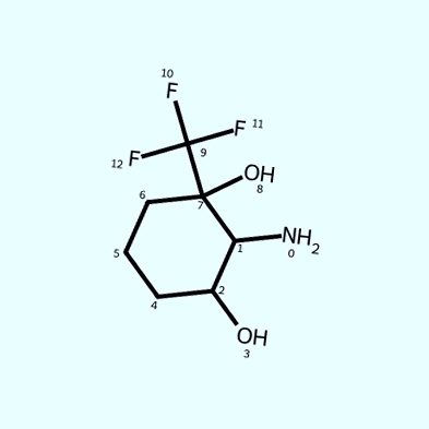 NC1C(O)CCCC1(O)C(F)(F)F